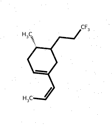 C/C=C\C1=CC[C@H](C)C(CCC(F)(F)F)C1